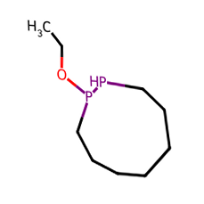 CCOP1CCCCCCCP1